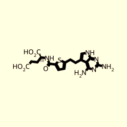 Nc1nc(N)c2c(CCc3ccc(C(=O)N[C@@H](CCC(=O)O)C(=O)O)s3)c[nH]c2n1